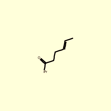 CC=CCCC(=O)C(C)C